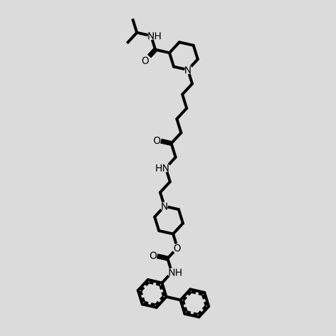 CC(C)NC(=O)C1CCCN(CCCCCC(=O)CNCCN2CCC(OC(=O)Nc3ccccc3-c3ccccc3)CC2)C1